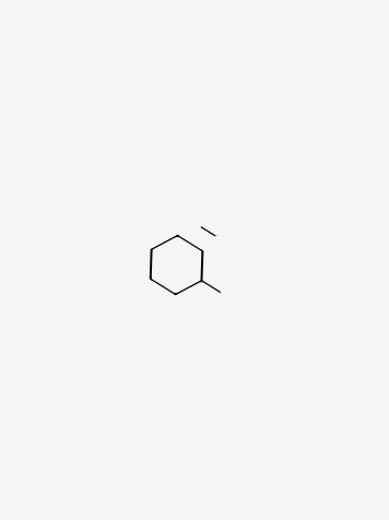 CCO.OC1CCCCC1